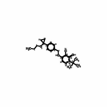 CCCOC1(c2ccc(COc3cnn(C(C)(C)C)c(=O)c3Cl)cc2)CC1